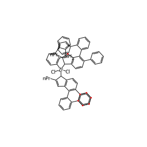 CCCC1=Cc2c(ccc(-c3ccccc3)c2-c2ccccc2-c2ccccc2)[CH]1[Zr]([Cl])([Cl])([c]1cccc2c1[SiH2]c1ccccc1-2)[CH]1C(CCC)=Cc2c1ccc(-c1ccccc1)c2-c1ccccc1-c1ccccc1